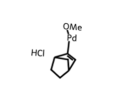 C[O][Pd][C]1=CC2CCC1C2.Cl